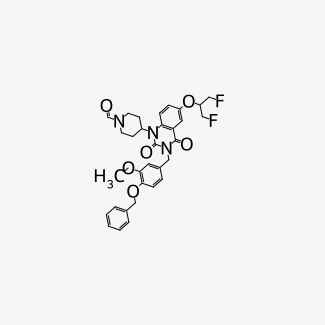 COc1cc(Cn2c(=O)c3cc(OC(CF)CF)ccc3n(C3CCN(C=O)CC3)c2=O)ccc1OCc1ccccc1